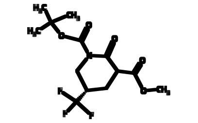 COC(=O)C1C[C@H](C(F)(F)F)CN(C(=O)OC(C)(C)C)C1=O